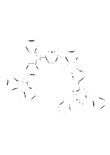 C1=CC(c2nc(-c3ccccc3)nc(-c3ccc4c(c3)oc3c(-c5ccc(N(c6ccccc6)c6ccc(-n7c8ccccc8c8ccccc87)cc6)cc5)cccc34)n2)=CCC1